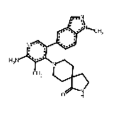 Cc1c(N)ncc(-c2ccc3c(cnn3C)c2)c1N1CCC2(CCNC2=O)CC1